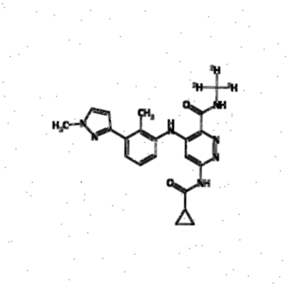 [2H]C([2H])([2H])NC(=O)c1nnc(NC(=O)C2CC2)cc1Nc1cccc(-c2ccn(C)n2)c1C